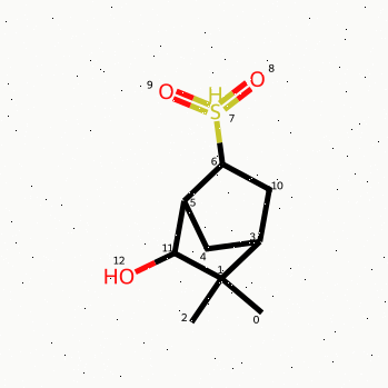 CC1(C)C2CC(C([SH](=O)=O)C2)C1O